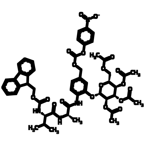 CC(=O)OC[C@H]1O[C@@H](Oc2cc(COC(=O)Oc3ccc([N+](=O)[O-])cc3)ccc2NC(=O)[C@H](C)NC(=O)[C@@H](NC(=O)OCC2c3ccccc3-c3ccccc32)C(C)C)[C@H](OC(C)=O)[C@@H](OC(C)=O)[C@@H]1OC(C)=O